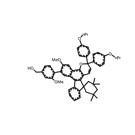 CCCOc1ccc(C2(c3ccc(OCCC)cc3)C=Cc3c4c(c5cc(-c6ccc(CO)cc6OC)c(OC)cc5c3O2)-c2ccccc2C42CC(C)(C)CC(C)(C)C2)cc1